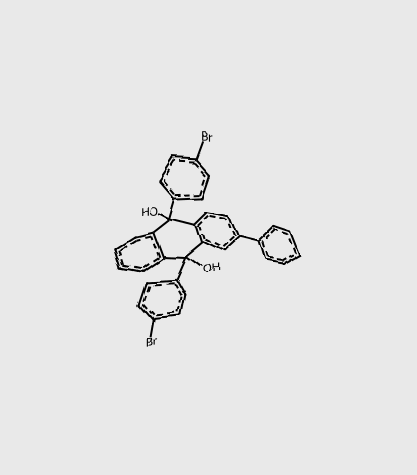 OC1(c2ccc(Br)cc2)c2ccccc2C(O)(c2ccc(Br)cc2)c2cc(-c3ccccc3)ccc21